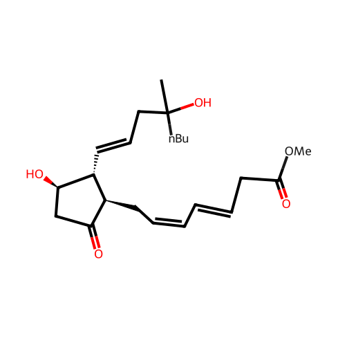 CCCCC(C)(O)C/C=C/[C@H]1[C@H](O)CC(=O)[C@@H]1C/C=C\C=CCC(=O)OC